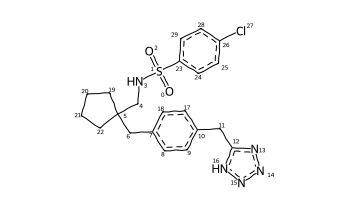 O=S(=O)(NCC1(Cc2ccc(Cc3nnn[nH]3)cc2)CCCC1)c1ccc(Cl)cc1